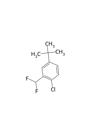 CC(C)(C)c1ccc(Cl)c(C(F)F)c1